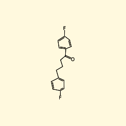 O=C(CCCc1ccc(F)cc1)c1ccc(F)cc1